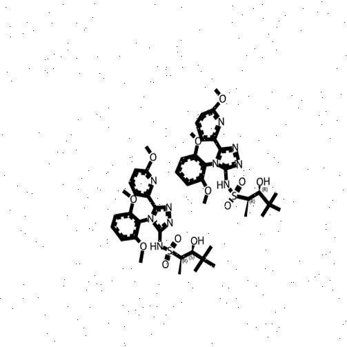 COc1cccc(-c2nnc(NS(=O)(=O)[C@H](C)[C@@H](O)C(C)(C)C)n2-c2c(OC)cccc2OC)n1.COc1cccc(-c2nnc(NS(=O)(=O)[C@H](C)[C@H](O)C(C)(C)C)n2-c2c(OC)cccc2OC)n1